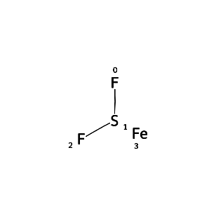 FSF.[Fe]